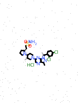 Cc1nn([C@H](C)c2ccc(Cl)cc2Cl)c2nc(N3CC[C@@H](N4CCC[C@H]4CCS(N)(=O)=O)[C@@H](C)C3)cnc12.Cl